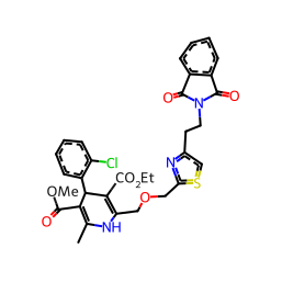 CCOC(=O)C1=C(COCc2nc(CCN3C(=O)c4ccccc4C3=O)cs2)NC(C)=C(C(=O)OC)C1c1ccccc1Cl